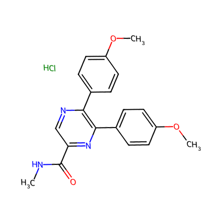 CNC(=O)c1cnc(-c2ccc(OC)cc2)c(-c2ccc(OC)cc2)n1.Cl